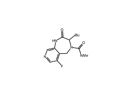 CCC(C)C1C(=O)Nc2cncc(F)c2CN1C(=O)NC